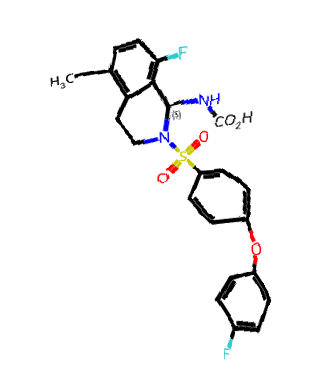 Cc1ccc(F)c2c1CCN(S(=O)(=O)c1ccc(Oc3ccc(F)cc3)cc1)[C@@H]2NC(=O)O